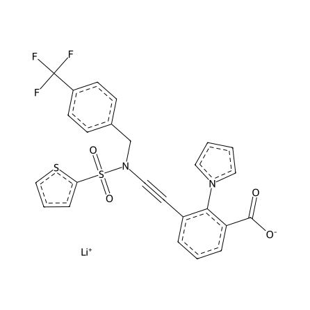 O=C([O-])c1cccc(C#CN(Cc2ccc(C(F)(F)F)cc2)S(=O)(=O)c2cccs2)c1-n1cccc1.[Li+]